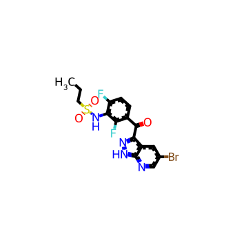 CCCS(=O)(=O)Nc1c(F)ccc(C(=O)c2n[nH]c3ncc(Br)cc23)c1F